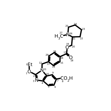 CCOc1nc2ccc(C(=O)O)cc2n1Cc1ccc(C(=O)OCC2CCCCN2C)cc1